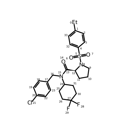 CCc1ccc(S(=O)(=O)N2CCC[C@H]2C(=O)N(Cc2ccc(Cl)cc2)C2CCC(F)(F)CC2)cc1